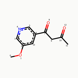 COc1cncc(C(=O)CC(C)=O)c1